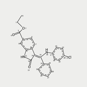 CCOC(=O)c1ccc2c(c1)NC(=O)C2=C(Nc1ccc(Cl)cc1)c1ccccc1